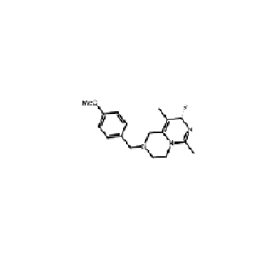 COc1ccc(CN2CCN3C(C)=N[C@@H](C)C(C)=C3C2)cc1